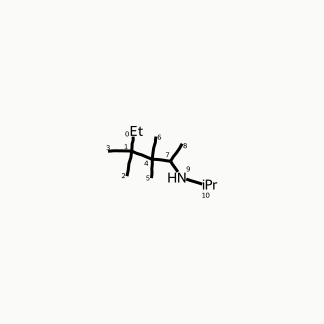 CCC(C)(C)C(C)(C)C(C)NC(C)C